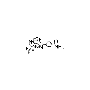 NC(=O)c1ccc(C2=NOC(c3cncc(C(F)(F)F)n3)(C(F)(F)F)C2)cc1